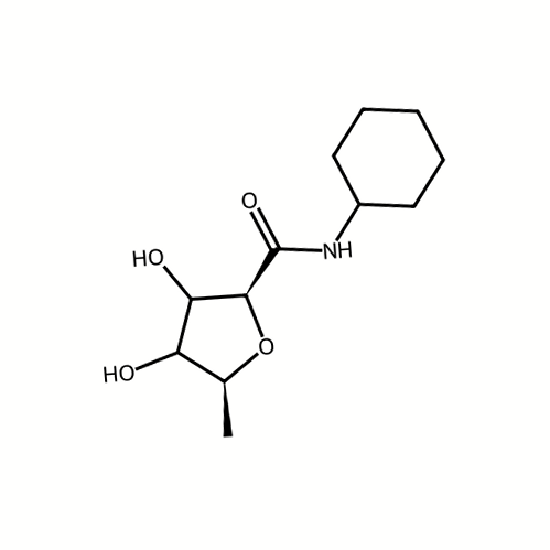 C[C@@H]1O[C@H](C(=O)NC2CCCCC2)C(O)C1O